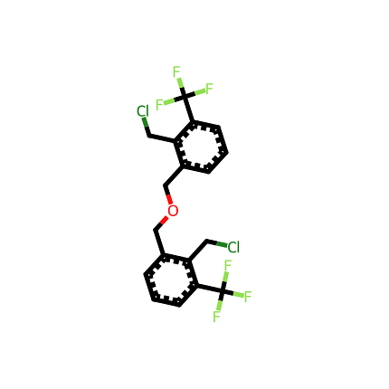 FC(F)(F)c1cccc(COCc2cccc(C(F)(F)F)c2CCl)c1CCl